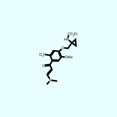 CCOC(=O)NC1(COc2cc([N+](=O)[O-])c(C(=O)C=CN(C)C)cc2OC)CC1